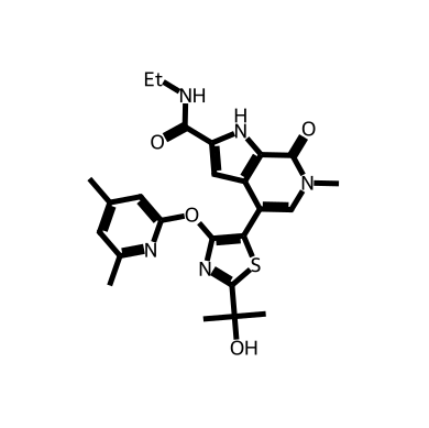 CCNC(=O)c1cc2c(-c3sc(C(C)(C)O)nc3Oc3cc(C)cc(C)n3)cn(C)c(=O)c2[nH]1